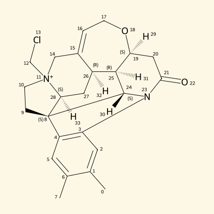 Cc1cc2c(cc1C)[C@@]13CC[N+]4(CCl)CC5=CCO[C@H]6CC(=O)N2[C@H]1[C@H]6[C@H]5C[C@@H]34